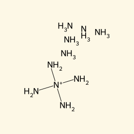 N.N.N.N.N.N[N+](N)(N)N